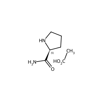 CC(=O)O.NC(=O)[C@@H]1CCCN1